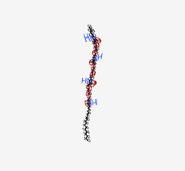 CCCCCCCCCCCCCCCCCCCC(=O)NCCOCCOCC(=O)NCCOCCOCC(=O)NCCOCCOCC(=O)NCCCC